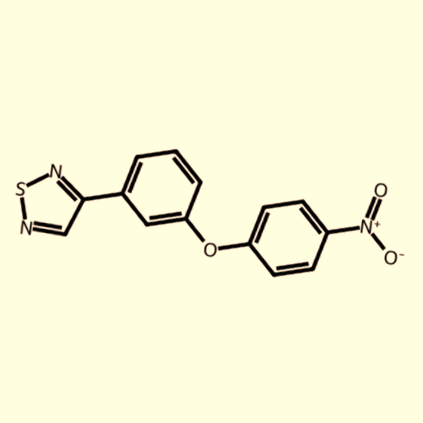 O=[N+]([O-])c1ccc(Oc2cccc(-c3cnsn3)c2)cc1